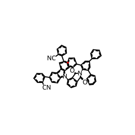 N#Cc1ccccc1-c1ccc2c(c1)c1cc(-c3ccccc3C#N)ccc1n2-c1cccc2c1C(=O)N(c1c(-c3ccccc3)cc(-c3ccccc3)cc1-c1ccccc1)C2=O